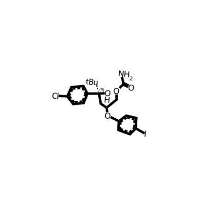 CC(C)(C)[C@](O)(CC(COC(N)=O)Oc1ccc(I)cc1)c1ccc(Cl)cc1